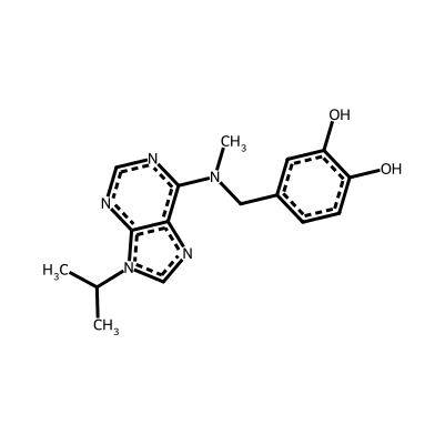 CC(C)n1cnc2c(N(C)Cc3ccc(O)c(O)c3)ncnc21